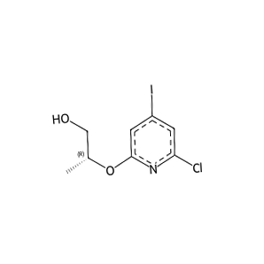 C[C@H](CO)Oc1cc(I)cc(Cl)n1